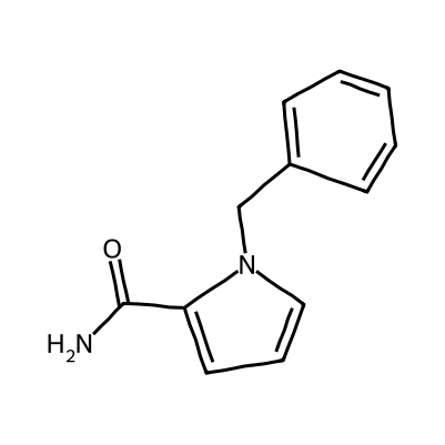 NC(=O)c1cccn1Cc1ccccc1